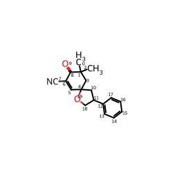 CC1(C)CC2(C=C(C#N)C1=O)CC(c1ccccc1)CO2